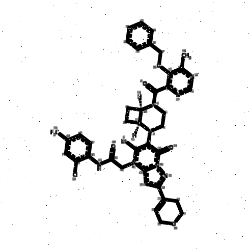 CCc1c(N2CCN(C(=O)c3ncnc(C)c3OCc3ccccc3)[C@@H]3CC[C@@H]32)c(=O)n2nc(C3=CCOCC3)nc2n1CC(=O)Nc1ccc(C(F)(F)F)cc1Cl